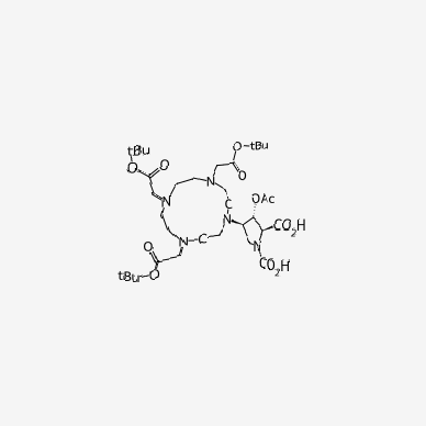 CC(=O)O[C@H]1[C@H](N2CCN(CC(=O)OC(C)(C)C)CCN(CC(=O)OC(C)(C)C)CCN(CC(=O)OC(C)(C)C)CC2)CN(C(=O)O)[C@@H]1C(=O)O